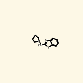 c1ccc2sc(NN3CCCC3)nc2c1